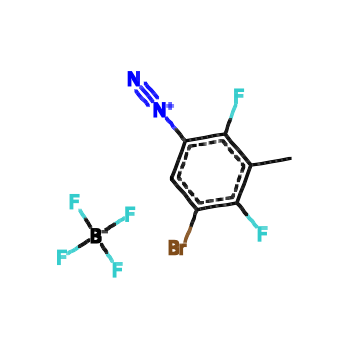 Cc1c(F)c(Br)cc([N+]#N)c1F.F[B-](F)(F)F